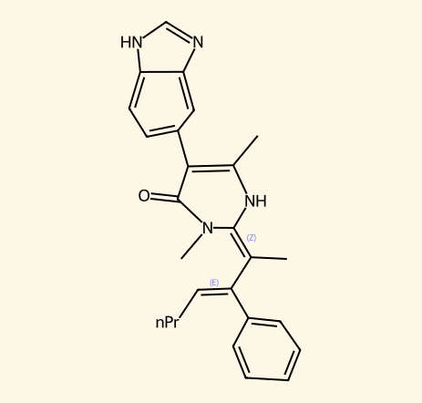 CCC/C=C(/C(C)=C1/NC(C)=C(c2ccc3[nH]cnc3c2)C(=O)N1C)c1ccccc1